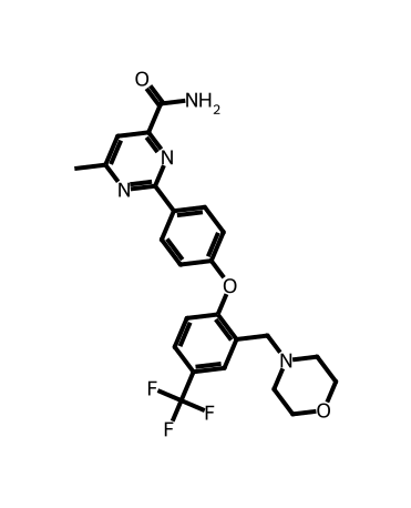 Cc1cc(C(N)=O)nc(-c2ccc(Oc3ccc(C(F)(F)F)cc3CN3CCOCC3)cc2)n1